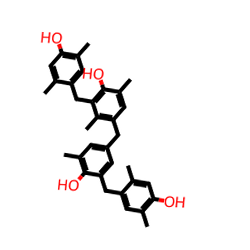 Cc1cc(Cc2cc(Cc3cc(C)c(O)c(Cc4cc(C)c(O)cc4C)c3C)cc(C)c2O)c(C)cc1O